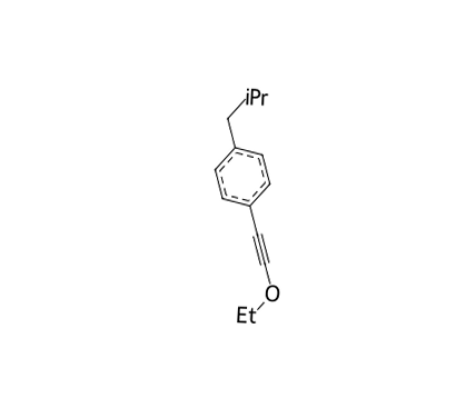 CCOC#Cc1ccc(CC(C)C)cc1